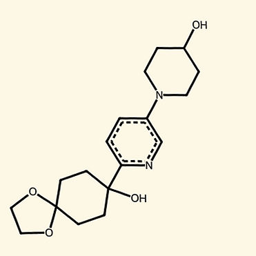 OC1CCN(c2ccc(C3(O)CCC4(CC3)OCCO4)nc2)CC1